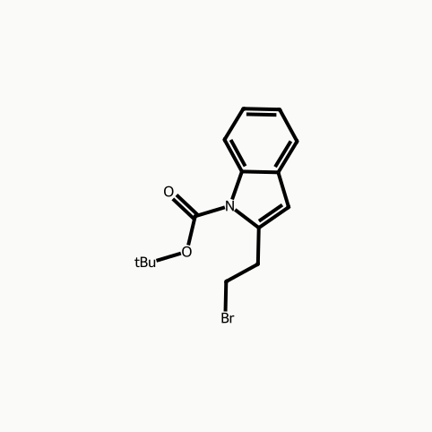 CC(C)(C)OC(=O)n1c(CCBr)cc2ccccc21